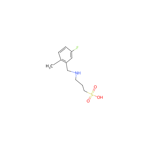 Cc1ccc(F)cc1CNCCCS(=O)(=O)O